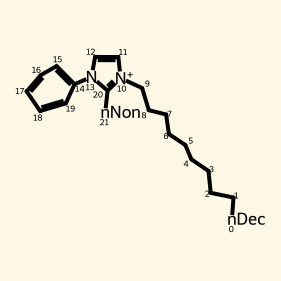 CCCCCCCCCCCCCCCCCCC[n+]1ccn(-c2ccccc2)c1CCCCCCCCC